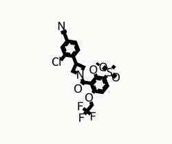 COc1c(S(C)(=O)=O)ccc(OCC(F)(F)F)c1C(=O)N1CC(c2ccc(C#N)cc2Cl)C1